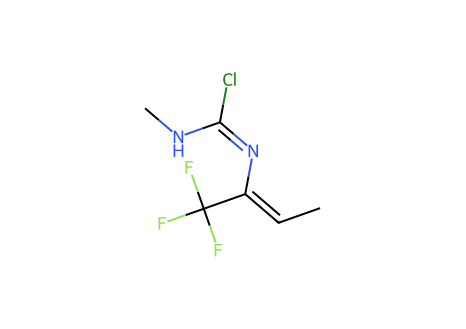 C/C=C(\N=C(\Cl)NC)C(F)(F)F